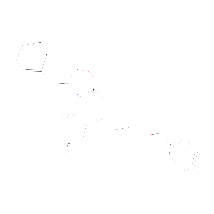 O=C(O)CC(CCCOCc1ccccc1)C(=O)N1C(=O)OCC1Cc1ccccc1